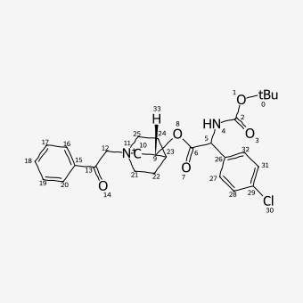 CC(C)(C)OC(=O)NC(C(=O)O[C@H]1C[N+]2(CC(=O)c3ccccc3)CCC1CC2)c1ccc(Cl)cc1